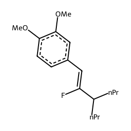 CCCC(CCC)C(F)=Cc1ccc(OC)c(OC)c1